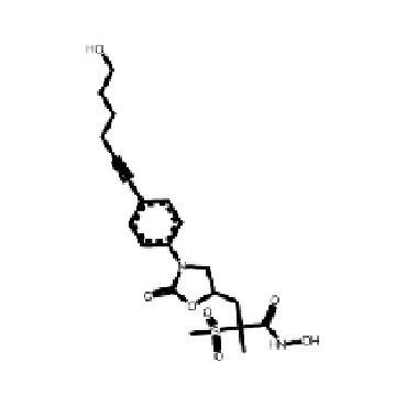 CC(CC1CN(c2ccc(C#CCCCCO)cc2)C(=O)O1)(C(=O)NO)S(C)(=O)=O